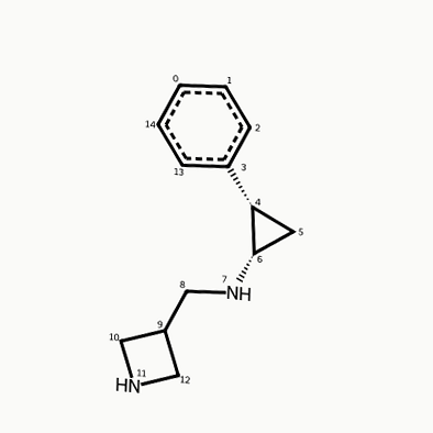 c1ccc([C@@H]2C[C@@H]2NCC2CNC2)cc1